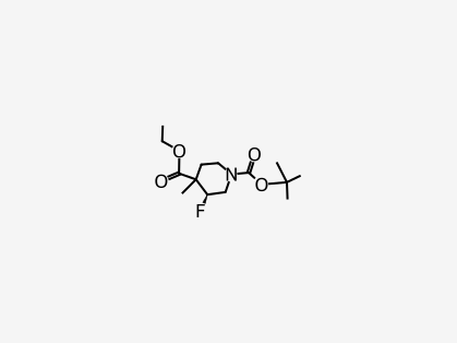 CCOC(=O)C1(C)CCN(C(=O)OC(C)(C)C)C[C@H]1F